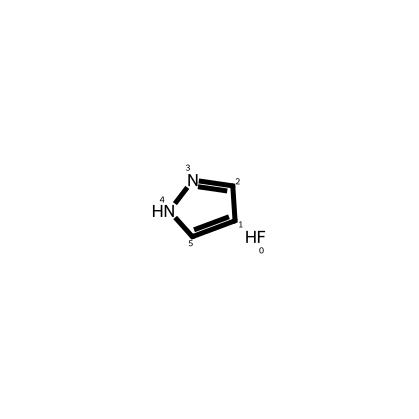 F.c1cn[nH]c1